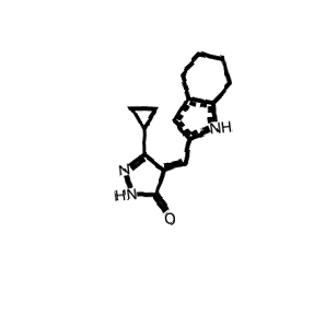 O=C1NN=C(C2CC2)/C1=C\c1cc2c([nH]1)CCCC2